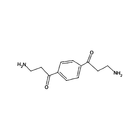 NCCC(=O)c1ccc(C(=O)CCN)cc1